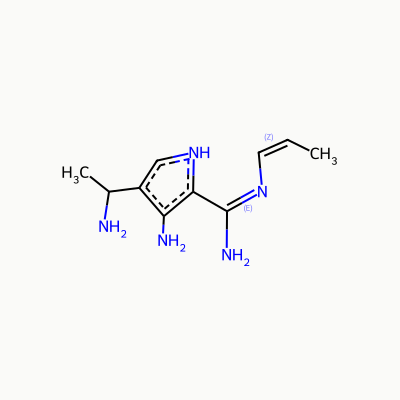 C/C=C\N=C(\N)c1[nH]cc(C(C)N)c1N